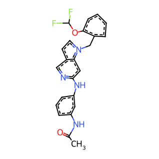 CC(=O)Nc1cccc(Nc2cc3c(ccn3Cc3ccccc3OC(F)F)cn2)c1